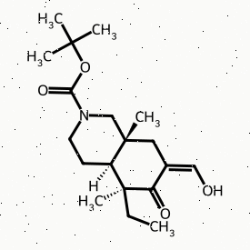 CC[C@]1(C)C(=O)/C(=C\O)C[C@@]2(C)CN(C(=O)OC(C)(C)C)CC[C@@H]21